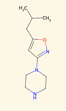 CC(C)Cc1cc(N2CCNCC2)no1